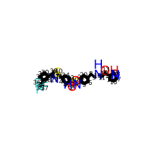 O=S(=O)(Nc1ccc(CCNCC(O)c2cccnc2)cc1)c1ccc(-c2nc(-c3cccc(C(F)(F)F)c3)cs2)cc1